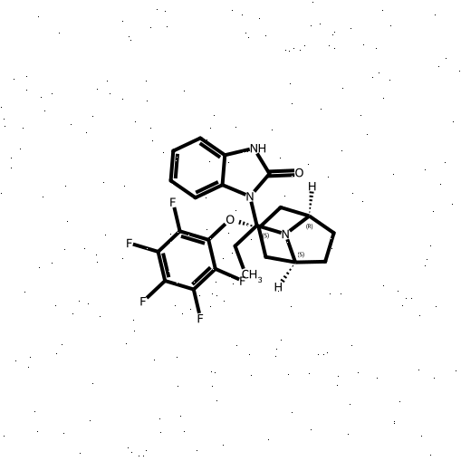 CCC(N1[C@@H]2CC[C@H]1C[C@H](Oc1c(F)c(F)c(F)c(F)c1F)C2)n1c(=O)[nH]c2ccccc21